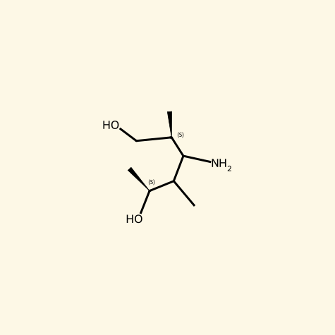 CC(C(N)[C@H](C)CO)[C@H](C)O